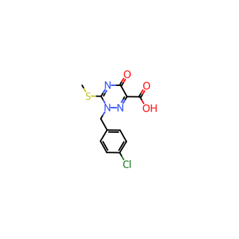 CSc1nc(=O)c(C(=O)O)nn1Cc1ccc(Cl)cc1